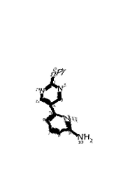 CCCc1ncc(-c2cccc(N)n2)cn1